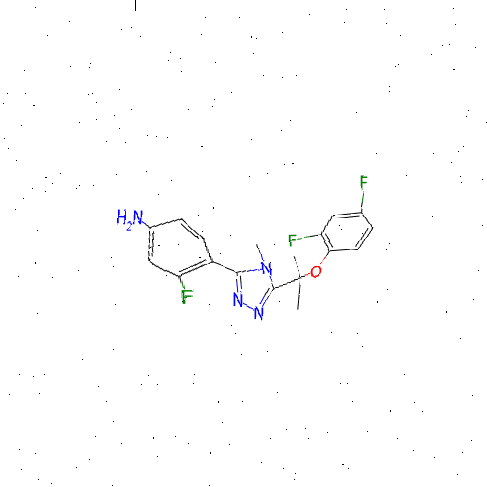 Cn1c(-c2ccc(N)cc2F)nnc1C(C)(C)Oc1ccc(F)cc1F